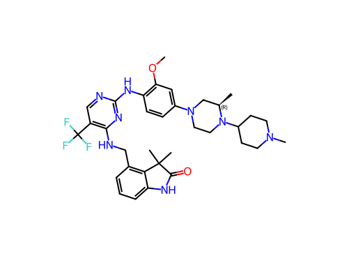 COc1cc(N2CCN(C3CCN(C)CC3)[C@H](C)C2)ccc1Nc1ncc(C(F)(F)F)c(NCc2cccc3c2C(C)(C)C(=O)N3)n1